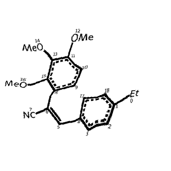 CCc1ccc(C=C(C#N)c2ccc(OC)c(OC)c2OC)cc1